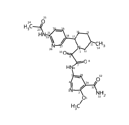 COc1ncc(NC(=O)C(=O)N2CC(C)CCC2c2ccc(NC(C)=O)nc2)cc1C(N)=O